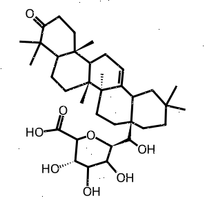 CC1(C)CC[C@]2(C(O)[C@@H]3OC(C(=O)O)[C@@H](O)C(O)C3O)CC[C@]3(C)C(=CCC4[C@@]5(C)CCC(=O)C(C)(C)C5CC[C@]43C)C2C1